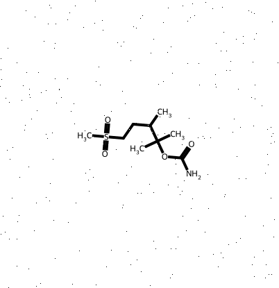 CC(CCS(C)(=O)=O)C(C)(C)OC(N)=O